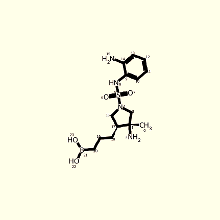 C[C@]1(N)CN(S(=O)(=O)Nc2ccccc2N)C[C@@H]1CCCB(O)O